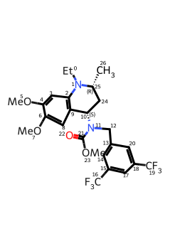 CCN1c2cc(OC)c(OC)cc2[C@@H](N(Cc2cc(C(F)(F)F)cc(C(F)(F)F)c2)C(=O)OC)C[C@H]1C